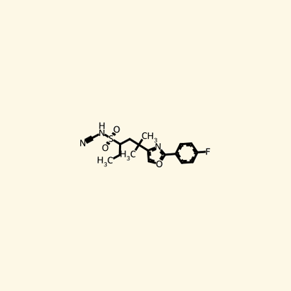 CCC(CC(C)(C)c1coc(-c2ccc(F)cc2)n1)S(=O)(=O)NC#N